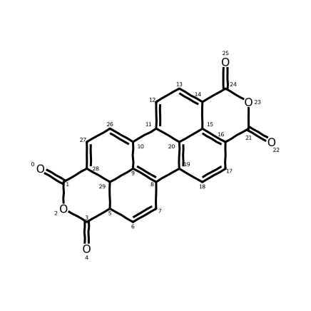 O=C1OC(=O)C2C=Cc3c4c(c5ccc6c7c(ccc3c75)C(=O)OC6=O)=CC=C1C42